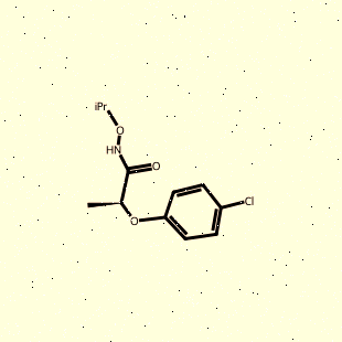 CC(C)ONC(=O)[C@H](C)Oc1ccc(Cl)cc1